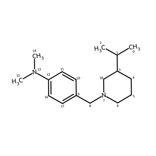 CC(C)C1CCCN(Cc2ccc(N(C)C)cc2)C1